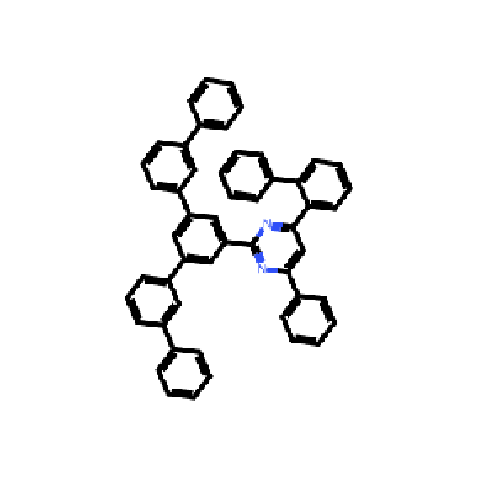 c1ccc(-c2cccc(-c3cc(-c4cccc(-c5ccccc5)c4)cc(-c4nc(-c5ccccc5)cc(-c5ccccc5-c5ccccc5)n4)c3)c2)cc1